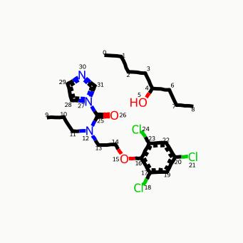 CCCCC(O)CCC.CCCN(CCOc1c(Cl)cc(Cl)cc1Cl)C(=O)n1ccnc1